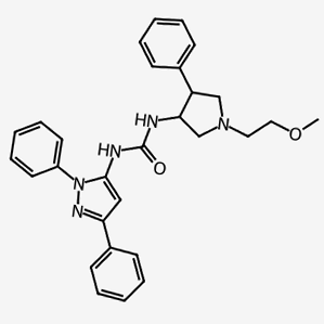 COCCN1CC(NC(=O)Nc2cc(-c3ccccc3)nn2-c2ccccc2)C(c2ccccc2)C1